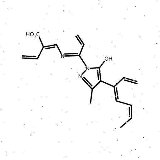 C=C/C(=C\N=C(/C=C)n1nc(C)c(/C(C=C)=C/C=C\C)c1O)C(=O)O